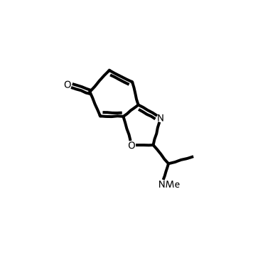 CNC(C)C1N=C2C=CC(=O)C=C2O1